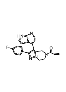 C=CC(=O)N1CCn2nc(-c3ccc(F)cc3)c(-c3ccnc4[nH]ccc34)c2C1